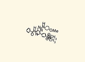 CO[C@H]1CC[C@H](Nc2ncc3c(NC(=O)c4ccccc4)ncc(-c4ccc(S(=O)(=O)N(C)C)cc4)c3n2)CC1